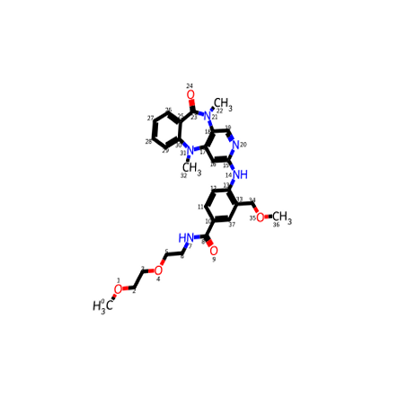 COCCOCCNC(=O)c1ccc(Nc2cc3c(cn2)N(C)C(=O)c2ccccc2N3C)c(COC)c1